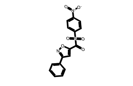 O=C(c1cc(-c2ccccc2)no1)S(=O)(=O)c1ccc([N+](=O)[O-])cc1